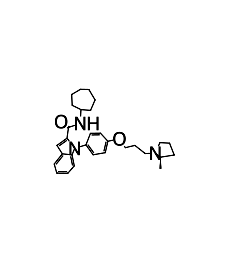 C[C@@H]1CCCN1CCCOc1ccc(-n2c(C(=O)NC3CCCCCC3)cc3ccccc32)cc1